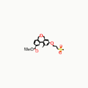 COC(=O)c1ccc2c(c1)-c1c(C)cc(OCCCS(C)(=O)=O)cc1COC2